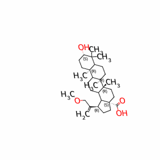 C=C(COC)[C@@H]1CC[C@]2(C(=O)O)CC[C@]3(C)C(CCC4[C@@]5(C)CC[C@H](O)C(C)(C)C5CC[C@]43C)C12